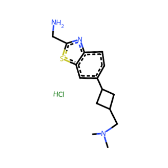 CN(C)CC1CC(c2ccc3nc(CN)sc3c2)C1.Cl